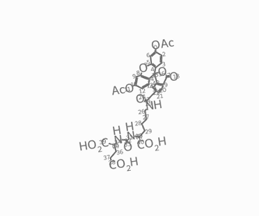 CC(=O)Oc1ccc2c(c1)Oc1cc(OC(C)=O)ccc1C21OC(=O)c2ccc(C(=O)NCCCC[C@H](NC(=O)N[C@@H](CCC(=O)O)C(=O)O)C(=O)O)cc21